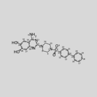 Nc1nc(N2CCN(S(=O)(=O)c3ccc(-c4ccccc4)cc3)CC2)nc2cc(O)c(O)cc12